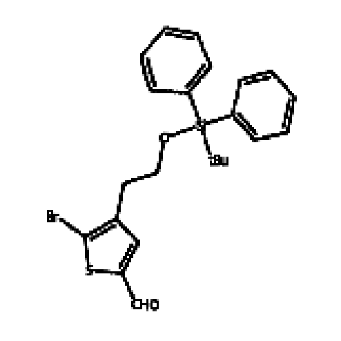 CC(C)(C)[Si](OCCc1cc(C=O)sc1Br)(c1ccccc1)c1ccccc1